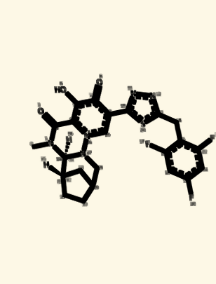 CN1C(=O)c2c(O)c(=O)c(-c3nnc(Cc4c(F)cc(F)cc4F)s3)cn2N2CC3CC[C@@H](C3)[C@@H]12